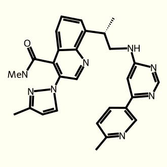 CNC(=O)c1c(-n2ccc(C)n2)cnc2c([C@H](C)CNc3cc(-c4ccc(C)nc4)ncn3)cccc12